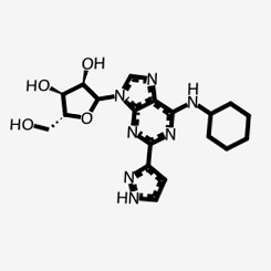 OC[C@H]1OC(n2cnc3c(NC4CCCCC4)nc(-c4cc[nH]n4)nc32)[C@H](O)[C@@H]1O